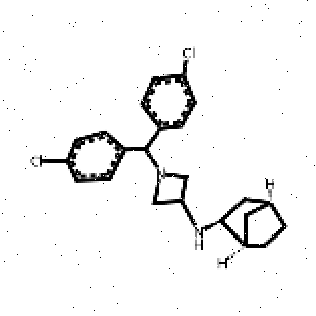 Clc1ccc(C(c2ccc(Cl)cc2)N2CC(N[C@H]3C[C@H]4CC[C@@H]3C4)C2)cc1